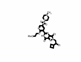 CCc1c2nc(-c3cc(S(=O)(=O)N4CCN(C)CC4)cnc3OCCOC)[nH]c(=O)c2nn1CC(CC)C1CCC1